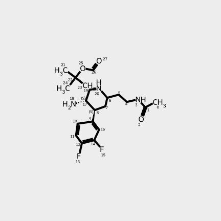 CC(=O)NCCC1C[C@@H](c2ccc(F)c(F)c2)[C@H](N)CN1.CC(C)(C)OC=O